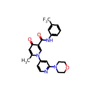 Cc1cc(=O)c(C(=O)Nc2cccc(C(F)(F)F)c2)cn1-c1ccnc(N2CCOCC2)c1